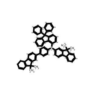 CC1(C)C2=C(CCC=C2)c2ccc(-c3ccc(N(c4ccc5c(c4)C(C)(C)c4ccccc4-5)c4cccc5c4-c4ccccc4C5(c4ccccc4)c4ccccc4)cc3)cc21